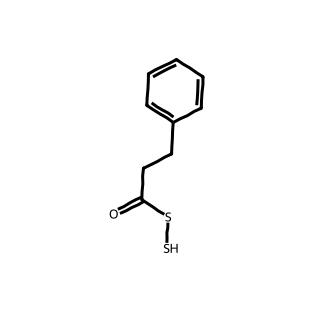 O=C(CCc1ccccc1)SS